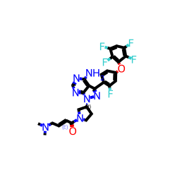 CN(C)C/C=C/C(=O)N1CC[C@@H](n2nc(-c3ccc(Oc4c(F)c(F)cc(F)c4F)cc3F)c3c(N)ncnc32)C1